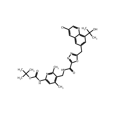 Cc1cc(NC(=O)OC(C)(C)C)nc(C)c1CNC(=O)c1nnc(Cc2cc(C(C)(C)O)c3ncc(Cl)cc3c2)o1